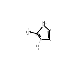 I.Nc1ncc[nH]1